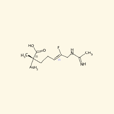 CC(=N)NC/C(F)=C/CC[C@](C)([AsH2])C(=O)O